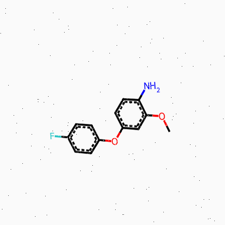 COc1cc(Oc2ccc(F)cc2)ccc1N